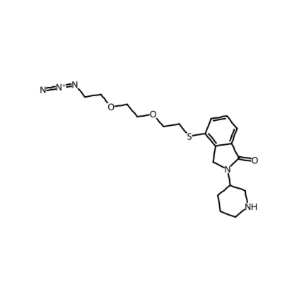 [N-]=[N+]=NCCOCCOCCSc1cccc2c1CN(C1CCCNC1)C2=O